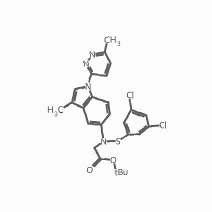 Cc1ccc(-n2cc(C)c3cc(N(CC(=O)OC(C)(C)C)Sc4cc(Cl)cc(Cl)c4)ccc32)nn1